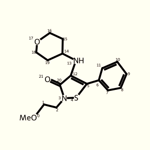 COCCn1sc(-c2ccccc2)c(NC2CCOCC2)c1=O